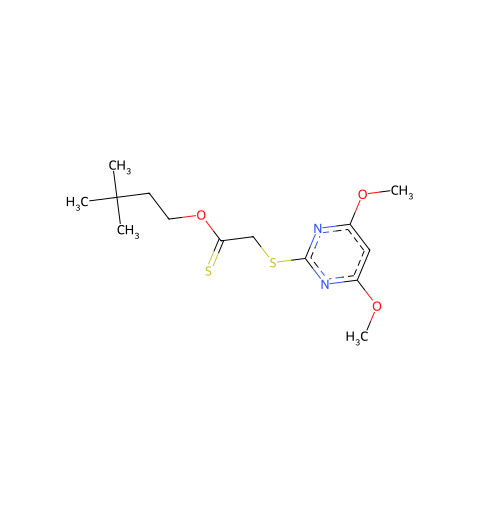 COc1cc(OC)nc(SCC(=S)OCCC(C)(C)C)n1